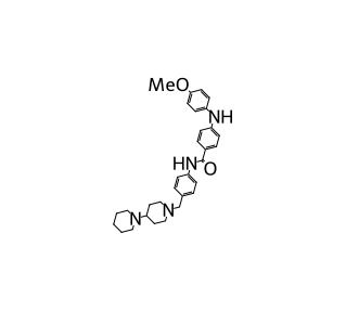 COc1ccc(Nc2ccc(C(=O)Nc3ccc(CN4CCC(N5CCCCC5)CC4)cc3)cc2)cc1